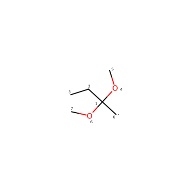 [CH2]C(CC)(OC)OC